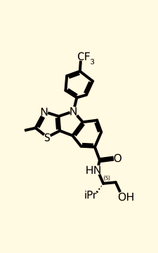 Cc1nc2c(s1)c1cc(C(=O)N[C@H](CO)C(C)C)ccc1n2-c1ccc(C(F)(F)F)cc1